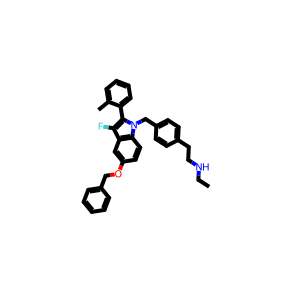 CCNCCc1ccc(Cn2c(-c3ccccc3C)c(F)c3cc(OCc4ccccc4)ccc32)cc1